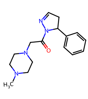 CN1CCN(CC(=O)N2N=CCC2c2ccccc2)CC1